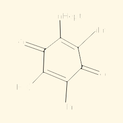 CCCCCCCC1=C(C(C)C)C(=O)C(C(C)C)=C(C)C1=O